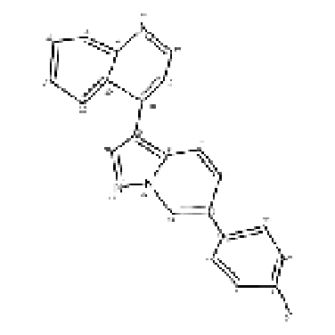 Cc1ccc(-c2ccc3c(-c4ccnc5ccccc45)cnn3c2)cc1